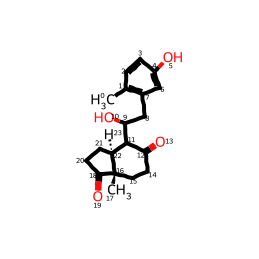 Cc1ccc(O)cc1CC(O)C1C(=O)CC[C@]2(C)C(=O)CC[C@@H]12